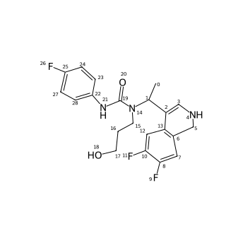 CC(C1=CNCc2cc(F)c(F)cc21)N(CCCO)C(=O)Nc1ccc(F)cc1